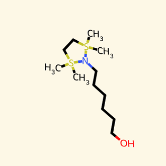 CS1(C)CCS(C)(C)N1CCCCCCO